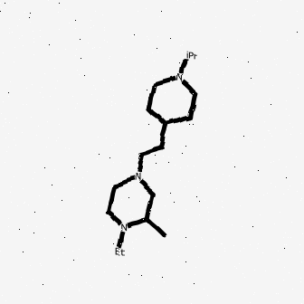 CCN1CCN(CCC2CCN(C(C)C)CC2)CC1C